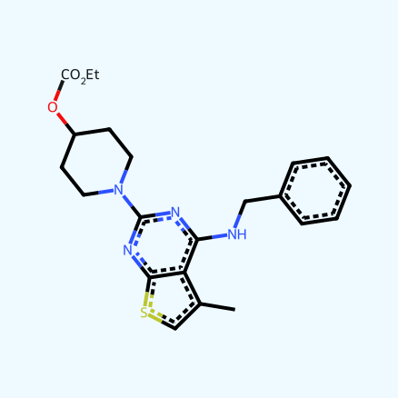 CCOC(=O)OC1CCN(c2nc(NCc3ccccc3)c3c(C)csc3n2)CC1